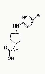 O=C(O)N[C@H]1CC[C@H](Nc2ccc(Br)cn2)CC1